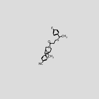 CC(SCCC(=O)N1CC2C[C@H](C)C(C1)N2c1ccc(C#N)cn1)c1ccc(F)cc1